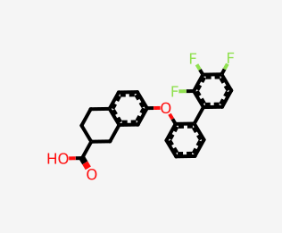 O=C(O)C1CCc2ccc(Oc3ccccc3-c3ccc(F)c(F)c3F)cc2C1